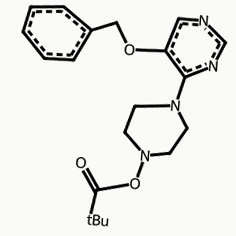 CC(C)(C)C(=O)ON1CCN(c2ncncc2OCc2ccccc2)CC1